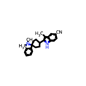 Cc1c(C2CCC(c3ccccc3)(N(C)C)CC2)[nH]c2ccc(C#N)cc12